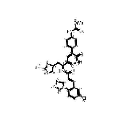 COC(=O)Nc1ccc(-c2cc(C(Cc3csc(C(C)C)n3)NC(=O)C=Cc3cc(Cl)ccc3-n3cnnn3)n[nH]c2=O)cc1